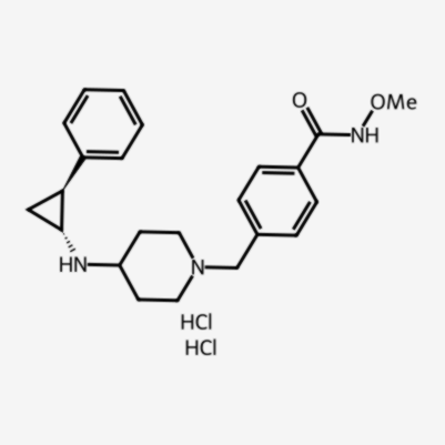 CONC(=O)c1ccc(CN2CCC(N[C@@H]3C[C@H]3c3ccccc3)CC2)cc1.Cl.Cl